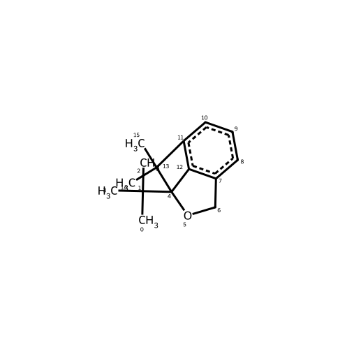 CC(C)(C)C12OCc3cccc(c31)C2(C)C